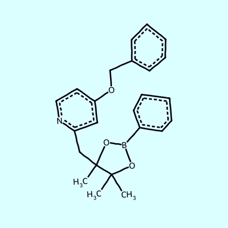 CC1(C)OB(c2ccccc2)OC1(C)Cc1cc(OCc2ccccc2)ccn1